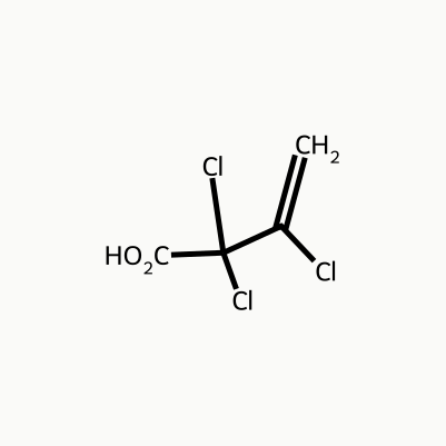 C=C(Cl)C(Cl)(Cl)C(=O)O